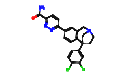 NC(=O)c1ccc(-c2ccc3c(c2)CN2CCC3(c3ccc(Cl)c(Cl)c3)CC2)nn1